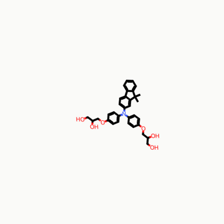 CC1(C)c2ccccc2-c2ccc(N(c3ccc(OCC(O)CO)cc3)c3ccc(OCC(O)CO)cc3)cc21